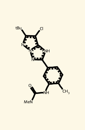 CNC(=O)Nc1cc(-c2nn3nc(C(C)(C)C)c(Cl)c3[nH]2)ccc1C